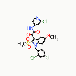 COc1ccc2c(c1)c(C(=O)C(=O)Nc1ccnc(Cl)c1)c(S(C)(=O)=O)n2Cc1ccc(Cl)cc1Cl